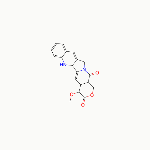 COC1C(=O)OCC2C(=O)N3CC4=Cc5ccccc5NC4C3=CC21